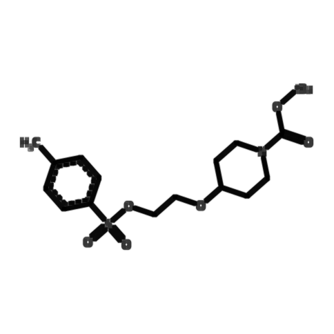 Cc1ccc(S(=O)(=O)OCCOC2CCN(C(=O)OC(C)(C)C)CC2)cc1